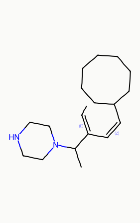 C/C=C(\C=C/C1CCCCCCC1)C(C)N1CCNCC1